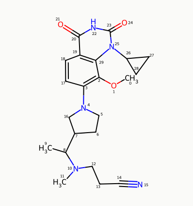 COc1c(N2CCC(C(C)N(C)CCC#N)C2)ccc2c(=O)[nH]c(=O)n(C3CC3)c12